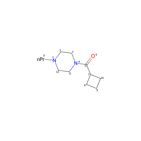 CCCN1CCN(C(=O)C2CCC2)CC1